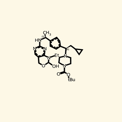 CCN1c2nc(N[C@@H](C)c3ccc([C@@H](CC4CC4)N4CCN(C(=O)OC(C)(C)C)CC4)cc3)ncc2COC1O